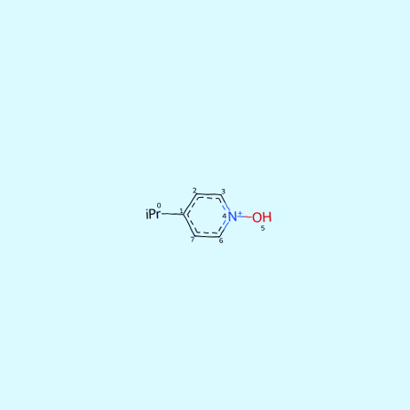 CC(C)c1cc[n+](O)cc1